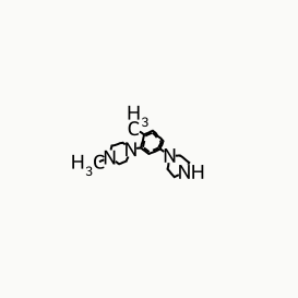 Cc1ccc(N2CCNCC2)cc1N1CCN(C)CC1